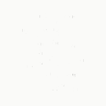 C=C(C)C(=O)O.C=C(C)C(=O)O.CCCC(O)(C(O)CO)[SiH](O[Si](C)(C)C)O[Si](C)(C)C